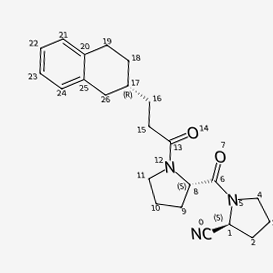 N#C[C@@H]1CCCN1C(=O)[C@@H]1CCCN1C(=O)CC[C@H]1CCc2ccccc2C1